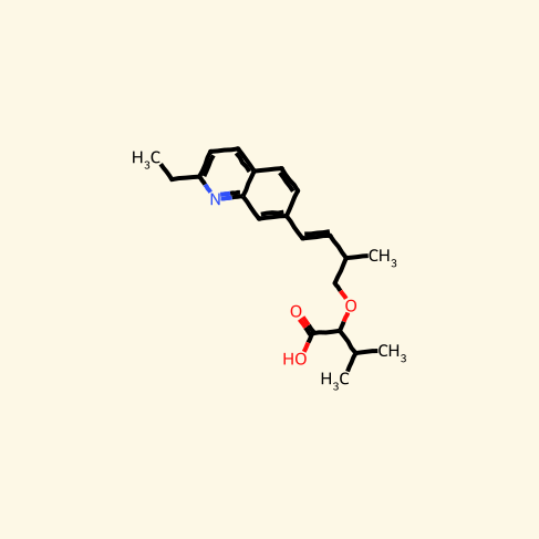 CCc1ccc2ccc(/C=C/C(C)COC(C(=O)O)C(C)C)cc2n1